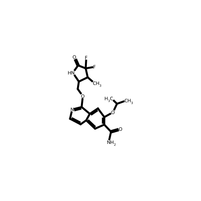 CC(C)Oc1cc2c(OCC3NC(=O)C(F)(F)C3C)nccc2cc1C(N)=O